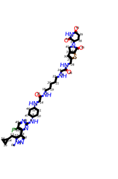 Cn1ncc(-c2nc(N[C@H]3CC[C@H](NCC(=O)NCCCCCNCC(=O)NCc4cc5c(s4)C(=O)N(C4CCC(=O)NC4=O)C5)CC3)ncc2F)c1CC1CC1